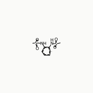 CS(=O)(=O)Nc1[c]cccc1NS(C)(=O)=O